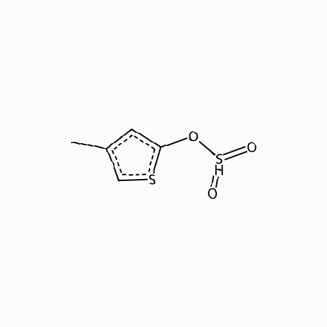 Cc1csc(O[SH](=O)=O)c1